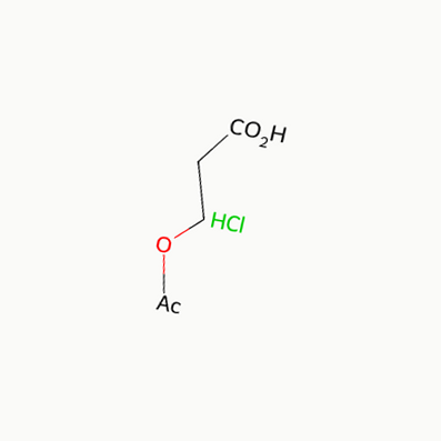 CC(=O)OCCC(=O)O.Cl